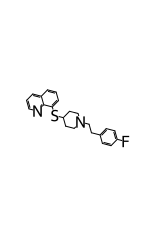 Fc1ccc(CCN2CCC(Sc3cccc4cccnc34)CC2)cc1